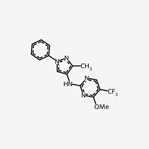 COc1nc(Nc2cn(-c3ccccc3)nc2C)ncc1C(F)(F)F